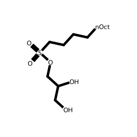 CCCCCCCCCCCCS(=O)(=O)OCC(O)CO